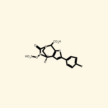 O=C(O)C1c2sc(-c3ccc(F)cc3)cc2[C@H]2CN1C(=O)N2OS(=O)(=O)O